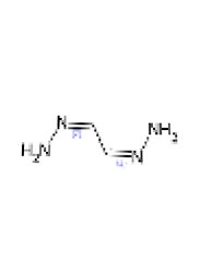 N/N=C\C=N/N